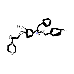 Cc1cc(/C(Cc2ccccc2)=N/OCc2ccc(Cl)cc2)ccc1OCC(=O)N1CCOCC1